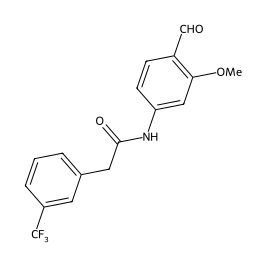 COc1cc(NC(=O)Cc2cccc(C(F)(F)F)c2)ccc1C=O